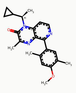 COc1cc(C)c(-c2nccc3c2nc(C)c(=O)n3[C@H](C)C2CC2)cc1C